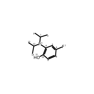 CC(C)P(c1cc(F)ccc1O)C(C)C